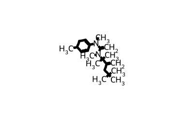 C=C(N(C)C1=CCC(C)C=C1)N(C)C(C)(C)C(=C)CC(C)(C)C